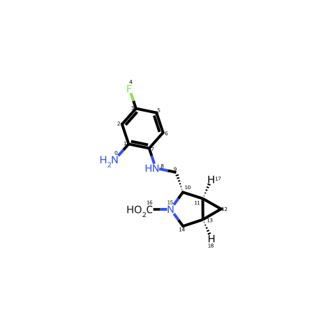 Nc1cc(F)ccc1NC[C@@H]1[C@H]2C[C@H]2CN1C(=O)O